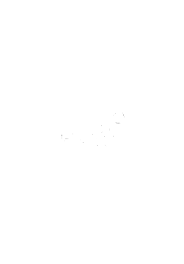 O=c1cc(CN2CCn3c(nnc3C3CC3)C2)[nH]c2nc(-c3ccccc3)nn12